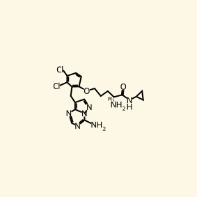 Nc1ncnc2c(Cc3c(OCCC[C@@H](N)C(=O)NC4CC4)ccc(Cl)c3Cl)cnn12